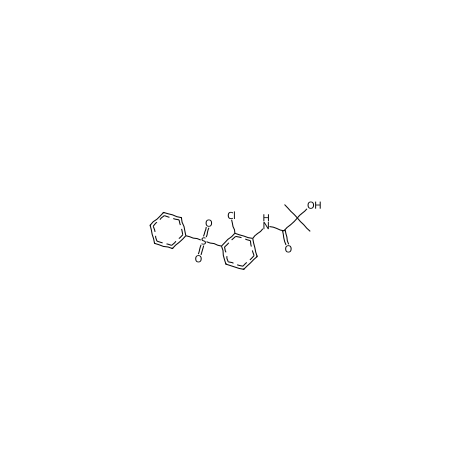 CC(C)(O)C(=O)Nc1cccc(S(=O)(=O)c2ccccc2)c1Cl